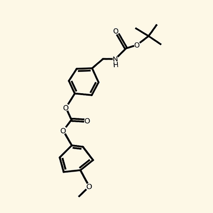 COc1ccc(OC(=O)Oc2ccc(CNC(=O)OC(C)(C)C)cc2)cc1